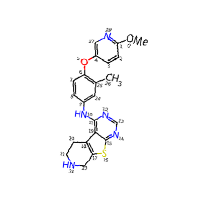 COc1ccc(Oc2ccc(Nc3ncnc4sc5c(c34)CCNC5)cc2C)cn1